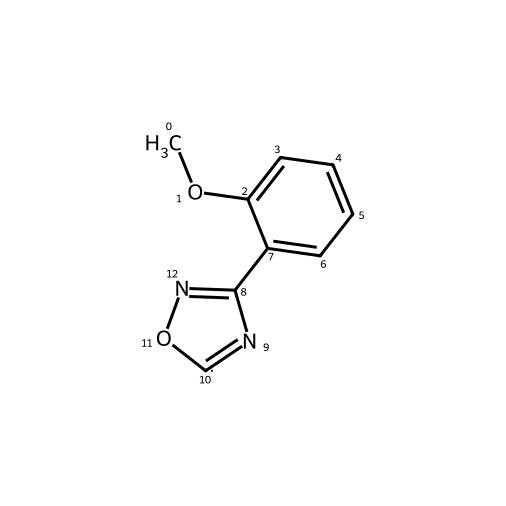 COc1ccccc1-c1n[c]on1